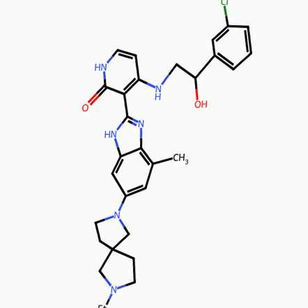 CCN1CCC2(CCN(c3cc(C)c4nc(-c5c(NCC(O)c6cccc(Cl)c6)cc[nH]c5=O)[nH]c4c3)C2)C1